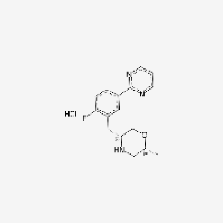 C[C@@H]1CN[C@H](Cc2cc(-c3ncccn3)ccc2F)CO1.Cl